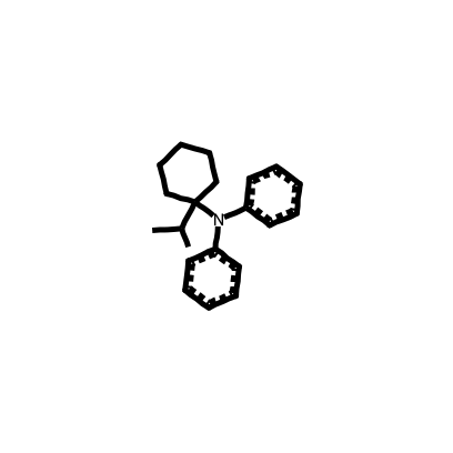 CC(C)C1(N(c2ccccc2)c2ccccc2)CCCCC1